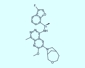 COc1nc2c(C)nnc(N[C@H](C)c3cccc4c(F)coc34)c2cc1N1CC2CCOCC1C2